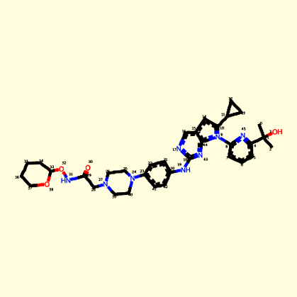 CC(C)(O)c1cccc(-n2c(C3CC3)cc3cnc(Nc4ccc(N5CCN(CC(=O)NOC6CCCCO6)CC5)cc4)nc32)n1